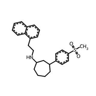 CS(=O)(=O)c1ccc(C2CCCCC(NCCc3cccc4ccccc34)C2)cc1